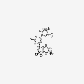 COc1cc(/C=N/N(CC(C)C)C2=NS(=O)(=O)c3cc(Br)ccc32)ccc1F